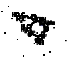 CN/C1=N\C(=N)C(C)(c2cccc(CCC(C)C(=O)O)c2)CCCC(C)(C)C[S+]([O-])CCc2c(c(F)cc3[nH]ccc23)Oc2ccc(F)c1c2